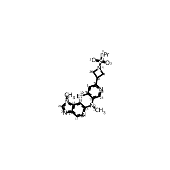 CCCS(=O)(=O)N1CC(c2cc(CC)c(N(C)c3cc4c(cn3)ncn4C)cn2)C1